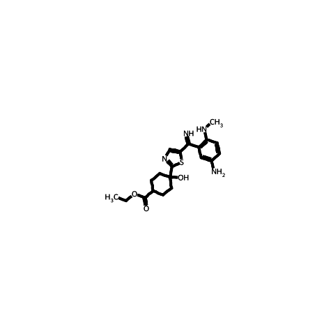 CCOC(=O)C1CCC(O)(c2ncc(C(=N)c3cc(N)ccc3NC)s2)CC1